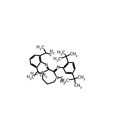 CC(C)c1cccc(C(C)C)c1N=C1C(=Nc2cc(C(C)(C)C)ccc2C(C)(C)C)N(C)CCCN1C